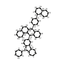 c1ccc(-n2c3ccccc3c3cc(-c4c5ccccc5c(-c5ccc(-c6cccc7ccccc67)cc5)c5ccc6ccccc6c45)ccc32)cc1